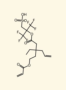 C=CCC(CC)(CCOC(=O)C=C)CC(=O)OC(CS(=O)(=O)O)(C(F)(F)F)C(F)(F)F